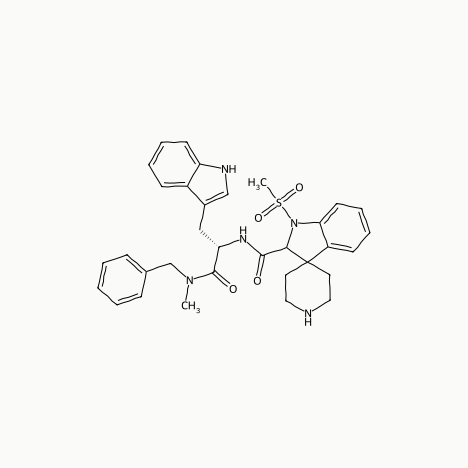 CN(Cc1ccccc1)C(=O)[C@H](Cc1c[nH]c2ccccc12)NC(=O)C1N(S(C)(=O)=O)c2ccccc2C12CCNCC2